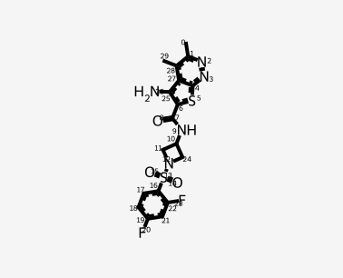 Cc1nnc2sc(C(=O)NC3CN(S(=O)(=O)c4ccc(F)cc4F)C3)c(N)c2c1C